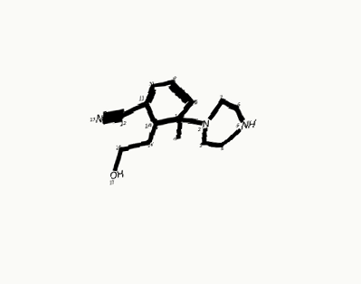 CC1(N2CCNCC2)C=CC=C(C#N)C1CCO